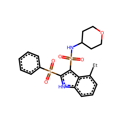 CCc1cccc2[nH]c(S(=O)(=O)c3ccccc3)c(S(=O)(=O)NC3CCOCC3)c12